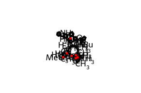 CCCCC1=NC2(CCCC2)C(=O)N1Cc1ccc(-c2ccccc2-c2nnn[nH]2)cc1.CC[C@H]1OC(=O)[C@H](C)[C@@H](O[C@H]2C[C@@](C)(OC)[C@@H](O)[C@H](C)O2)[C@H](C)[C@@H](O[C@@H]2O[C@H](C)C[C@H](N(C)C)[C@H]2O)[C@](C)(O)C[C@@H](C)CN(C)[C@H](C)[C@@H](O)[C@]1(C)O.c1ccc2c(c1)Nc1ccccc1S2